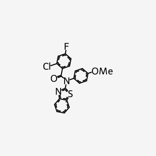 COc1ccc(N(C(=O)c2ccc(F)cc2Cl)c2nc3ccccc3s2)cc1